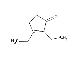 C=CC1=C(CC)C(=O)CC1